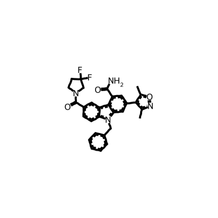 Cc1noc(C)c1-c1cc(C(N)=O)c2c3cc(C(=O)N4CCC(F)(F)C4)ccc3n(Cc3ccccc3)c2c1